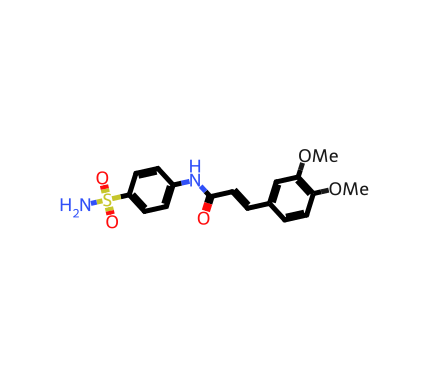 COc1ccc(C=CC(=O)Nc2ccc(S(N)(=O)=O)cc2)cc1OC